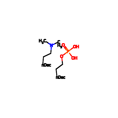 CCCCCCCCCCCCN(C)C.CCCCCCCCCCCCOP(=O)(O)O